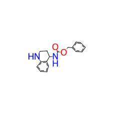 O=C(NC1CCNc2ccccc21)OCc1ccccc1